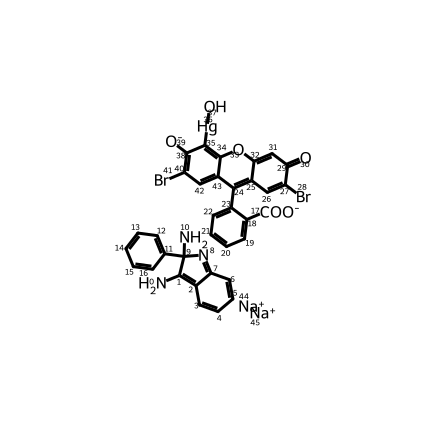 NC1=c2ccccc2=NC1(N)c1ccccc1.O=C([O-])c1ccccc1-c1c2cc(Br)c(=O)cc-2oc2[c]([Hg][OH])c([O-])c(Br)cc12.[Na+].[Na+]